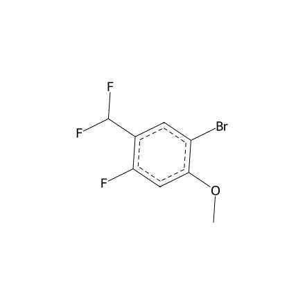 COc1cc(F)c(C(F)F)cc1Br